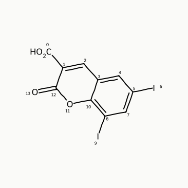 O=C(O)c1cc2cc(I)cc(I)c2oc1=O